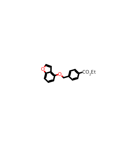 CCOC(=O)c1ccc(COc2cccc3occc23)cc1